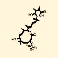 CCC(O)C(C)C(C)C(O)CC(C)(C)/C=C/C=C(\C)C1OC(=O)CC(O[Si](CC)(CC)C(C)C)CCC(C)(C)C(OC(C)=O)/C=C/C1C